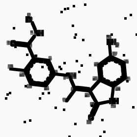 CCNC(=O)c1cc(NC(C)=C2C(=O)Nc3ccc(N)cc32)ccc1C